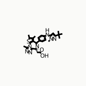 Cc1sc2c(c1C)C(c1ccc(Nc3cc(C(C)(C)C)nn3C)cc1)=N[C@@H](CC(=O)O)c1nnc(C)n1-2